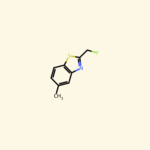 Cc1ccc2sc(CF)nc2c1